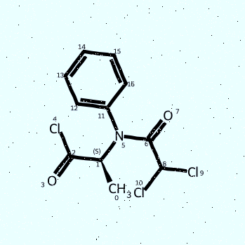 C[C@@H](C(=O)Cl)N(C(=O)C(Cl)Cl)c1ccccc1